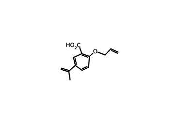 C=CCOc1ccc(C(=C)C)cc1C(=O)O